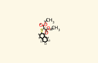 CCOC(=O)C(Sc1ccc2ccccc2c1)C(=O)OCC